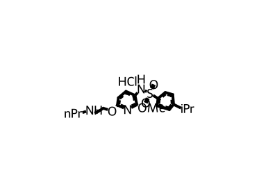 CCCNCCOc1ccc(NS(=O)(=O)c2ccc(C(C)C)cc2)c(OC)n1.Cl